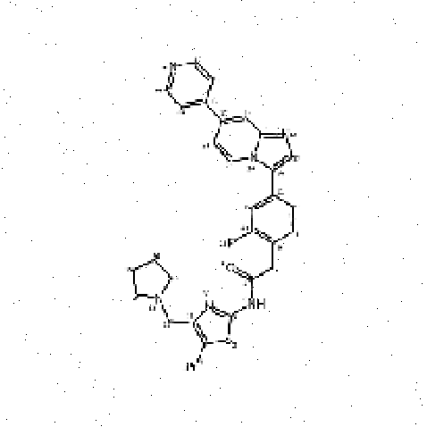 CC(C)c1sc(NC(=O)Cc2ccc(-c3cnc4cc(-c5ccncc5)ccn34)cc2F)nc1CN1CCCC1